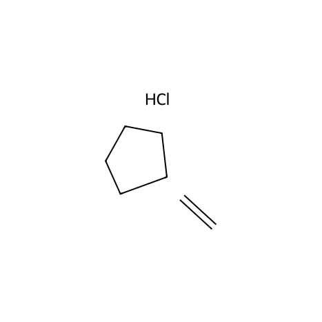 C1CCCC1.C=C.Cl